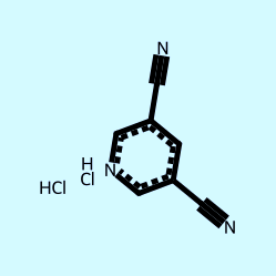 Cl.Cl.N#Cc1cncc(C#N)c1